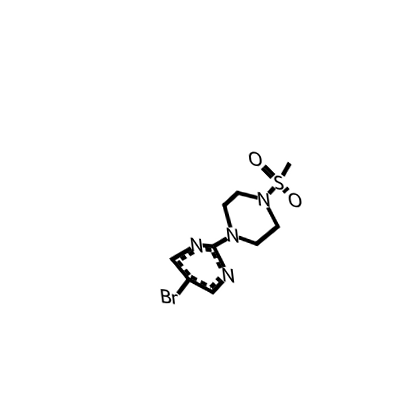 CS(=O)(=O)N1CCN(c2ncc(Br)cn2)CC1